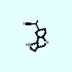 CC(C#N)c1ccc2ncc3cc[nH]c3c2c1